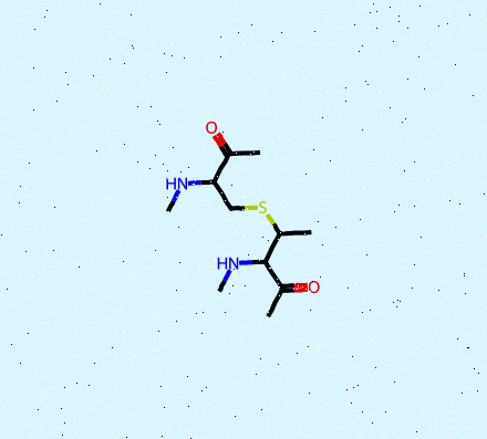 CNC(CSC(C)C(NC)C(C)=O)C(C)=O